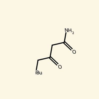 CCC(C)CC(=O)CC(N)=O